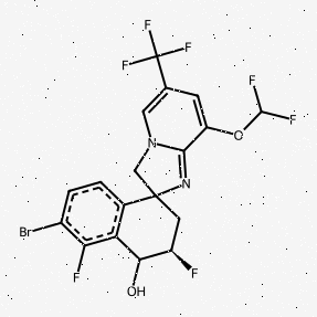 OC1c2c(ccc(Br)c2F)C2(C[C@H]1F)CN1C=C(C(F)(F)F)C=C(OC(F)F)C1=N2